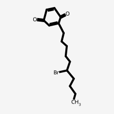 CCCCC(Br)CCCCCC1=CC(=O)C=CC1=O